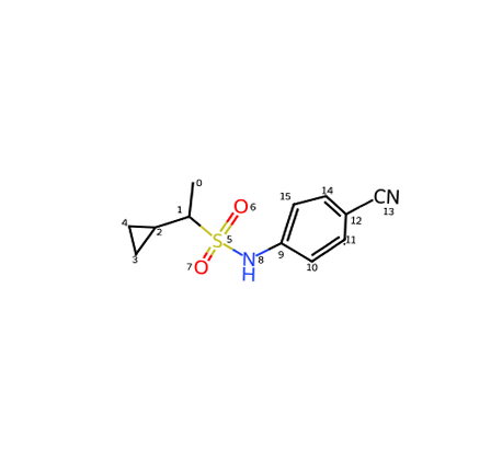 CC(C1CC1)S(=O)(=O)Nc1c[c]c(C#N)cc1